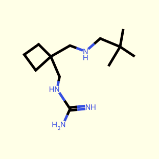 CC(C)(C)CNCC1(CNC(=N)N)CCC1